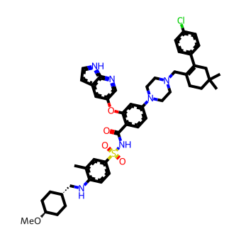 CO[C@H]1CC[C@H](CNc2ccc(S(=O)(=O)NC(=O)c3ccc(N4CCN(CC5=C(c6ccc(Cl)cc6)CC(C)(C)CC5)CC4)cc3Oc3cnc4[nH]ccc4c3)cc2C)CC1